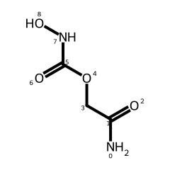 NC(=O)COC(=O)NO